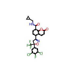 O=C(NCC1CC1)c1ccc(C2=NOC(c3cc(Cl)c(F)c(Cl)c3)(C(F)(F)F)C2)c2ccc(=O)oc12